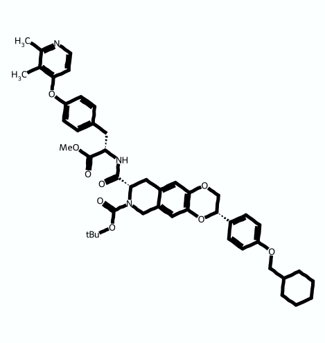 COC(=O)[C@H](Cc1ccc(Oc2ccnc(C)c2C)cc1)NC(=O)[C@@H]1Cc2cc3c(cc2CN1C(=O)OC(C)(C)C)O[C@@H](c1ccc(OCC2CCCCC2)cc1)CO3